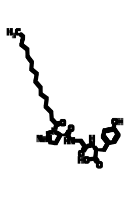 CCCCCCCCCCCCCCCC(=O)N1CCC[C@H]1C(=O)NCC(=O)N[C@@H](Cc1ccc(O)cc1)C(=O)O.[NaH]